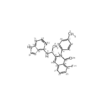 Cc1ccc(-n2c([C@H](C)Nc3ncnc4[nH]ccc34)nc3cccc(F)c3c2=O)cc1